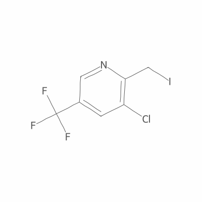 FC(F)(F)c1cnc(CI)c(Cl)c1